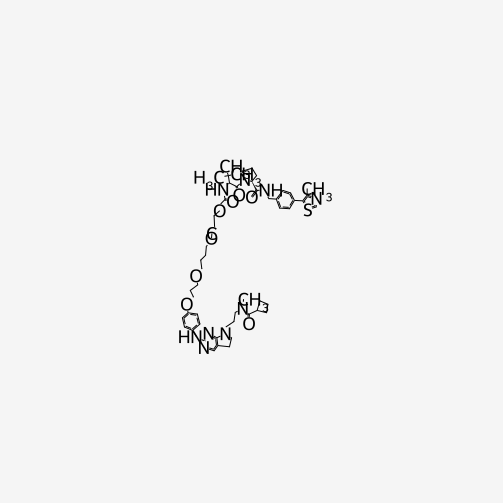 Cc1ncsc1-c1ccc(CNC(=O)[C@@H]2CCCN2C(=O)C(NC(=O)COCCCOCCCCOCCCOc2ccc(Nc3ncc4c(n3)N(CCCN(C)C(=O)C3CCC3)CC4)cc2)C(C)(C)C)cc1